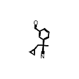 CC(C#N)(CC1CC1)c1cccc([C]=O)c1